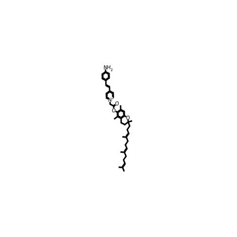 CC(C)=CCC/C(C)=C/CC/C(C)=C/CCC1(C)CCc2c(cc(C)c(OC(=O)C[n+]3ccc(/C=C/c4ccc(N)cc4)cc3)c2C)O1